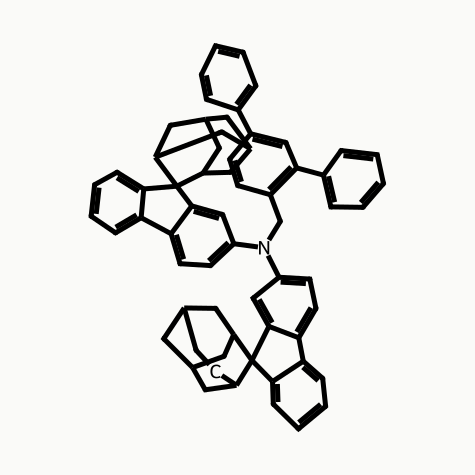 c1ccc(-c2ccc(CN(c3ccc4c(c3)C3(c5ccccc5-4)C4CCC5CC(C4)CC3C5)c3ccc4c(c3)C3(c5ccccc5-4)C4CC5CC(C4)CC3C5)c(-c3ccccc3)c2)cc1